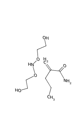 C=C(CCC)C(N)=O.OCCONOCCO